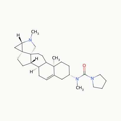 CN1C[C@]23CCC4[C@@H](CC=C5C[C@@H](N(C)C(=O)N6CCCC6)CC[C@@]54C)[C@@H]2CC[C@@]32C[C@H]12